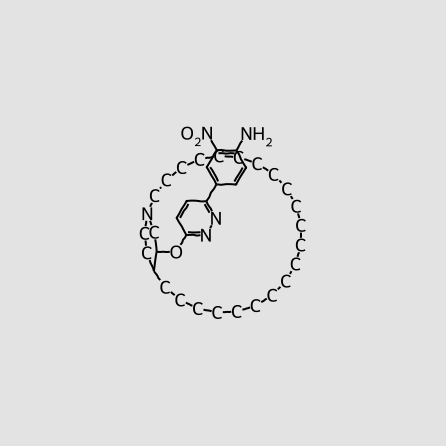 Nc1ccc(-c2ccc(OC3CN4CCCCCCCCCCCCCCCCCCCCCC3CC4)nn2)cc1[N+](=O)[O-]